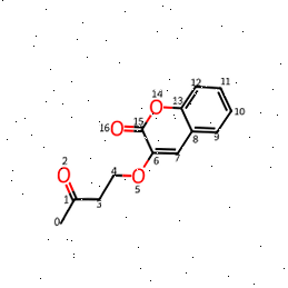 CC(=O)CCOc1cc2ccccc2oc1=O